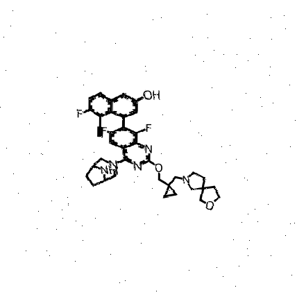 C#Cc1c(F)ccc2cc(O)cc(-c3c(F)cc4c(N5CC6CCC(C5)N6)nc(OCC5(CN6CCC7(CCOC7)C6)CC5)nc4c3F)c12